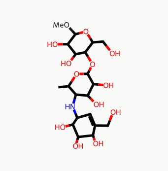 COC1OC(CO)C(OC2OC(C)C(NC3C=C(CO)C(O)C(O)C3O)C(O)C2O)C(O)C1O